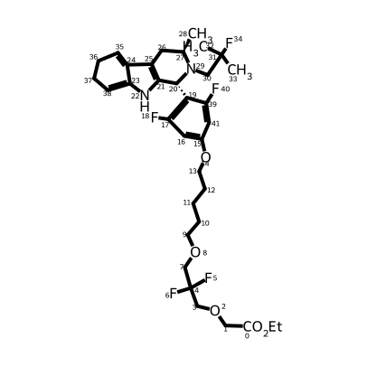 CCOC(=O)COCC(F)(F)COCCCCCOc1cc(F)c([C@@H]2c3[nH]c4c(c3C[C@@H](C)N2CC(C)(C)F)=CCCC=4)c(F)c1